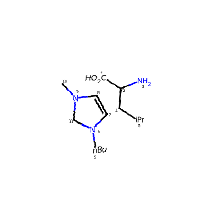 CC(C)CC(N)C(=O)O.CCCCN1C=CN(C)C1